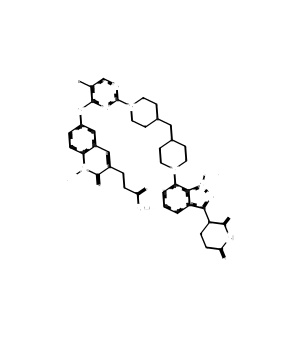 C=C(CCC1=Cc2cc(Nc3nc(N4CCC(CC5CCN(c6cccc7c(C8CCC(=C)NC8=C)nn(C)c67)CC5)CC4)ncc3Cl)ccc2N(C)C1=C)NC